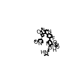 COc1cc([C@H]2C[C@@]3(C2)C(=O)N(C)c2cnc4cc(F)c(-c5cnc(OCCNC(C)C)c(NS(C)(=O)=O)c5)cc4c23)ccn1